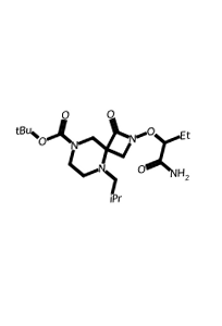 CCC(ON1CC2(CN(C(=O)OC(C)(C)C)CCN2CC(C)C)C1=O)C(N)=O